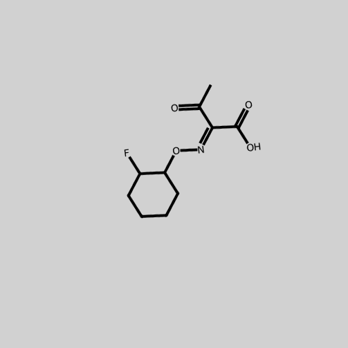 CC(=O)/C(=N\OC1CCCCC1F)C(=O)O